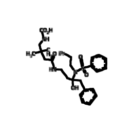 CC(C)CCN(C(O)(CCNC(=O)CC(C)(C)CNC(=O)O)Cc1ccccc1)S(=O)(=O)c1ccccc1